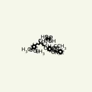 COc1ccc(CCN(C)CCCOc2ccc(S(=O)(=O)c3nc4ccccc4n3C(C)C)cc2)cc1OC.O=C(O)C(=O)O